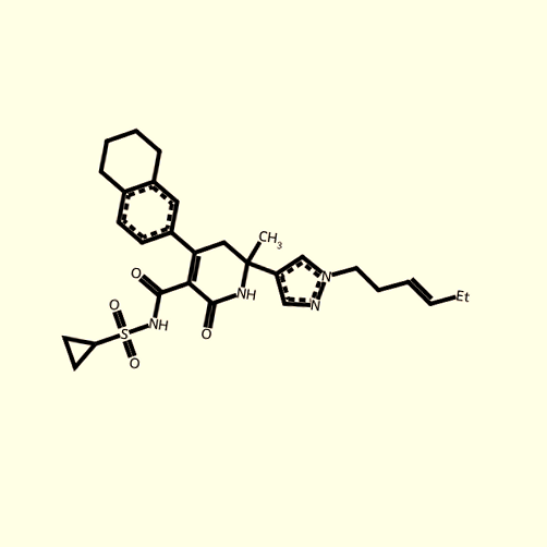 CC/C=C/CCn1cc(C2(C)CC(c3ccc4c(c3)CCCC4)=C(C(=O)NS(=O)(=O)C3CC3)C(=O)N2)cn1